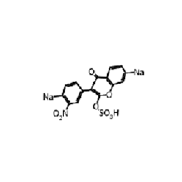 O=c1c(-c2cc[c]([Na])c([N+](=O)[O-])c2)c(OS(=O)(=O)O)oc2c[c]([Na])ccc12